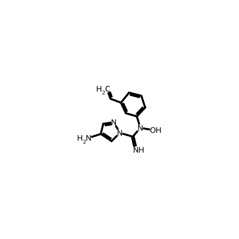 C=Cc1cccc(N(O)C(=N)n2cc(N)cn2)c1